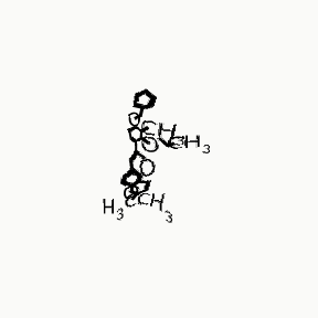 CCCOC1C(C2=Cc3ccc4c(c3OC2)C=CC(C)(C)O4)=CC=C(OCc2ccccc2)C1C